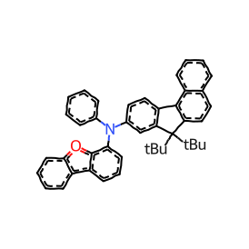 CC(C)(C)C1(C(C)(C)C)c2cc(N(c3ccccc3)c3cccc4c3oc3ccccc34)ccc2-c2c1ccc1ccccc21